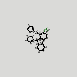 C1=CC[C]([Zr+2][c]2cccc3c2C(C2=CCCC2)c2ccccc2-3)=C1.[Cl-].[Cl-]